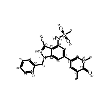 Cc1cc(-c2cc(NS(C)(=O)=O)c3c(F)nn(Cc4ccccn4)c3c2)cn(C)c1=O